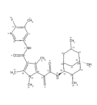 Cc1cc(NC(=O)c2c(C)c(C(=O)C(=O)N[C@@H]3C(C)C[C@]4(O)CC(C)CC3C4)n(C)c2C)cnc1F